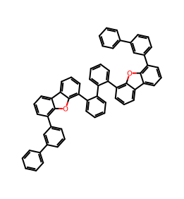 c1ccc(-c2cccc(-c3cccc4c3oc3c(-c5ccccc5-c5ccccc5-c5cccc6c5oc5c(-c7cccc(-c8ccccc8)c7)cccc56)cccc34)c2)cc1